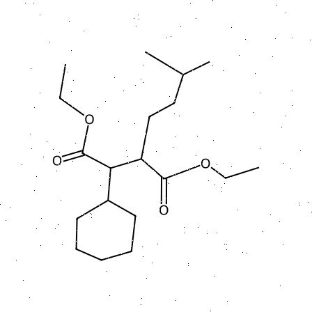 CCOC(=O)C(CCC(C)C)C(C(=O)OCC)C1CCCCC1